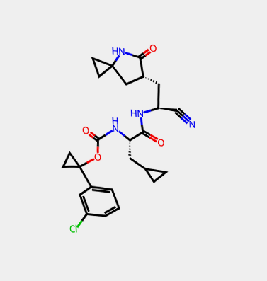 N#C[C@H](C[C@@H]1CC2(CC2)NC1=O)NC(=O)[C@H](CC1CC1)NC(=O)OC1(c2cccc(Cl)c2)CC1